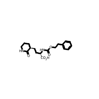 O=C(N[C@@H](CC[C@@H]1CCCNC1=O)C(=O)O)OCCc1ccccc1